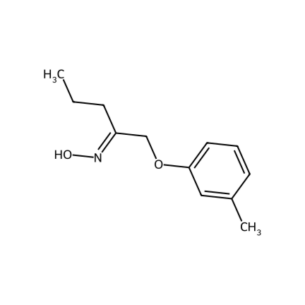 CCCC(COc1cccc(C)c1)=NO